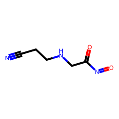 N#CCCNCC(=O)N=O